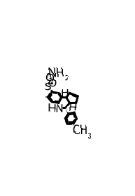 Cc1ccc([C@@H]2Nc3ccc(SOON)cc3[C@H]3C=CC[C@H]32)cc1